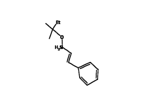 CCC(C)(C)O[SiH2]C=Cc1ccccc1